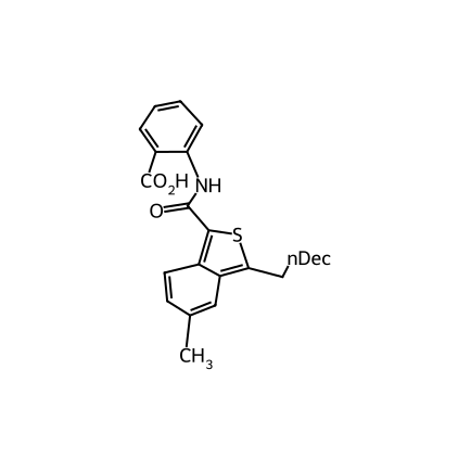 CCCCCCCCCCCc1sc(C(=O)Nc2ccccc2C(=O)O)c2ccc(C)cc12